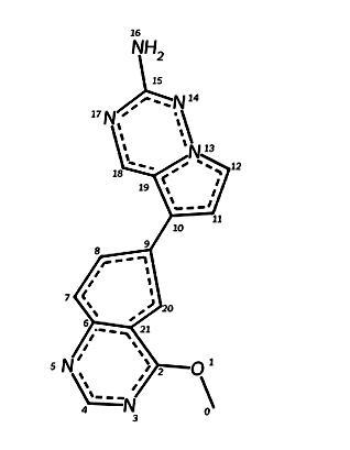 COc1ncnc2ccc(-c3ccn4nc(N)ncc34)cc12